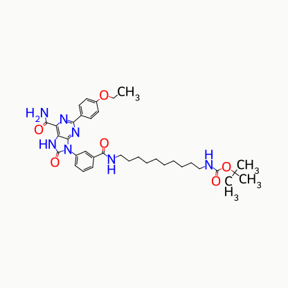 CCOc1ccc(-c2nc(C(N)=O)c3[nH]c(=O)n(-c4cccc(C(=O)NCCCCCCCCCCNC(=O)OC(C)(C)C)c4)c3n2)cc1